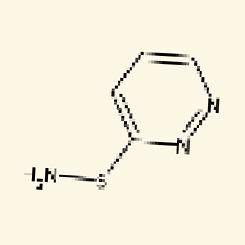 NSc1cccnn1